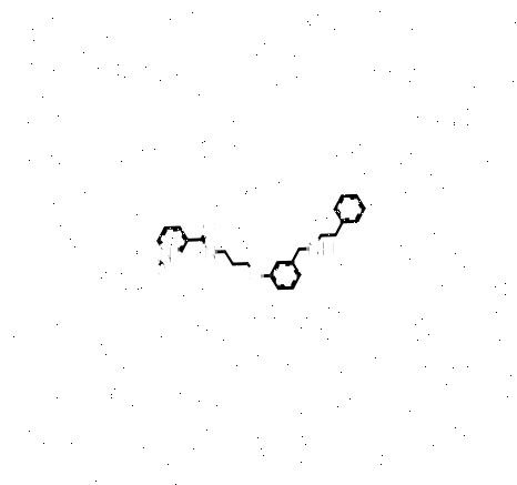 O=C(NCCCOc1cccc(CNCCc2ccccc2)c1)c1ccc[n+]([O-])c1